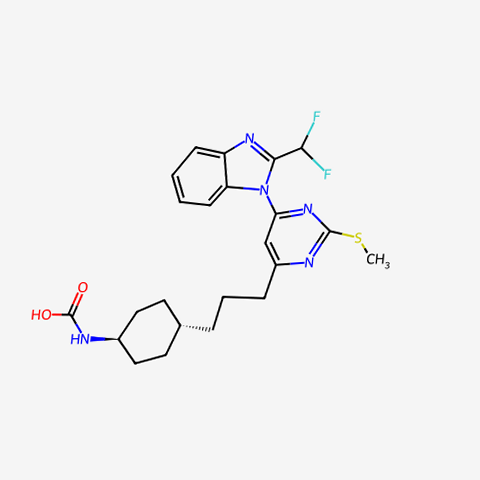 CSc1nc(CCC[C@H]2CC[C@H](NC(=O)O)CC2)cc(-n2c(C(F)F)nc3ccccc32)n1